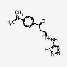 CN(C)c1ccc(C(=O)C/C=N/Nc2nnn[nH]2)cc1